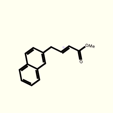 COC(=O)/C=C/Cc1ccc2ccccc2c1